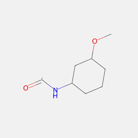 COC1CCCC(N[C]=O)C1